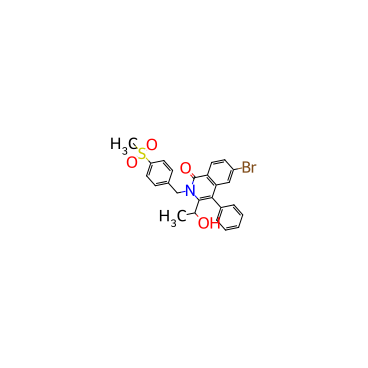 CC(O)c1c(-c2ccccc2)c2cc(Br)ccc2c(=O)n1Cc1ccc(S(C)(=O)=O)cc1